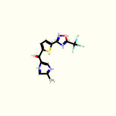 Cc1cnc(C(=O)c2ccc(-c3noc(C(F)(F)F)n3)s2)cn1